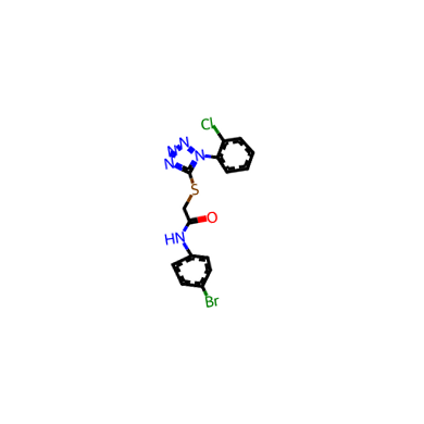 O=C(CSc1nnnn1-c1ccccc1Cl)Nc1ccc(Br)cc1